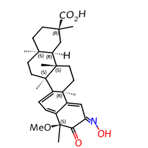 CO[C@]1(C)C(=O)C(=NO)C=C2C1=CC=C1[C@@]2(C)CC[C@@]2(C)[C@@H]3C[C@](C)(C(=O)O)CC[C@]3(C)CC[C@]12C